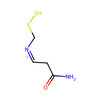 NC(=O)C/C=N\CSS